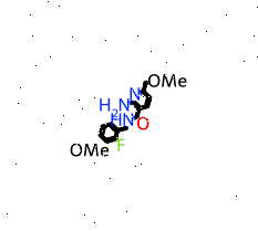 COCc1ccc(C(=O)NCc2cccc(OC)c2F)c(N)n1